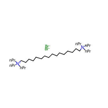 CCC[N+](CCC)(CCC)CCCCCCCCCCCCCCCC[N+](CCC)(CCC)CCC.[Br-].[Br-]